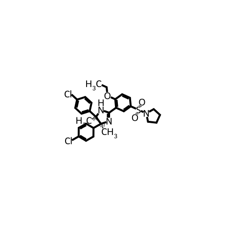 CCOc1ccc(S(=O)(=O)N2CCCC2)cc1C1=N[C@@](C)(C2C=CC(Cl)=CC2)[C@@](C)(c2ccc(Cl)cc2)N1